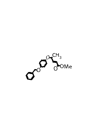 COC(=O)C=CC(C)Oc1ccc(OCc2ccccc2)cc1